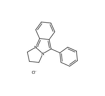 [Cl-].c1ccc(-c2c3ccccc3[n+]3n2CCC3)cc1